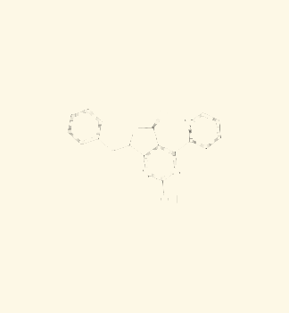 O=C1OC(Cc2ccccc2)c2nc(O)nc(-c3ccccn3)c21